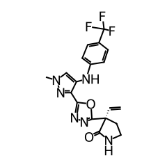 C=C[C@]1(c2nnc(-c3nn(C)cc3Nc3ccc(C(F)(F)F)cc3)o2)CCNC1=O